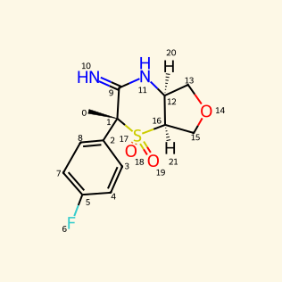 C[C@@]1(c2ccc(F)cc2)C(=N)N[C@H]2COC[C@H]2S1(=O)=O